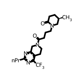 CCCc1nc2c(c(C(F)(F)F)n1)CCN(C(=O)CCCN1C[C@H](C)CCC1=O)C2